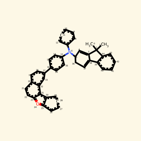 CC1(C)C2=CC(N(c3ccccc3)c3ccc(-c4ccc5ccc6oc7ccccc7c6c5c4)cc3)CC=C2c2ccccc21